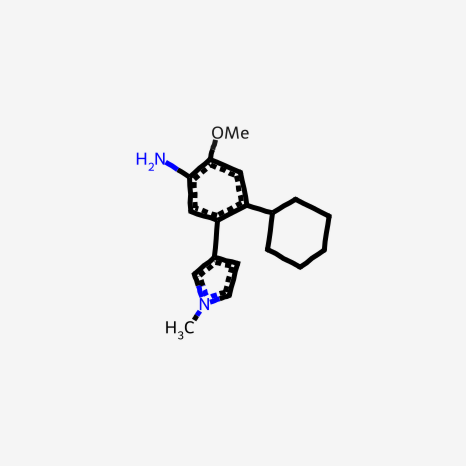 COc1cc(C2CCCCC2)c(-c2ccn(C)c2)cc1N